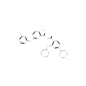 CN1CCC(c2ccc(C(=O)Nc3n[nH]c4ccc(Nc5cc(F)cc(F)c5)nc34)c(NC3CCOCC3)c2)CC1